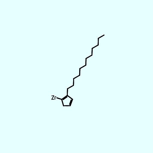 CCCCCCCCCCCCC1=[C]([Zr])CC=C1